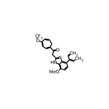 C=C/C(=C\C)c1ccc(OC)c2[nH]c(CC(=O)C3=CC=C(OC(F)(F)F)C=CC3)nc12